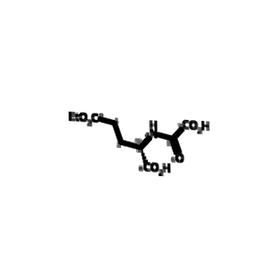 CCOC(=O)CC[C@H](NC(=O)C(=O)O)C(=O)O